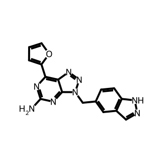 Nc1nc(-c2ccco2)c2nnn(Cc3ccc4[nH]ncc4c3)c2n1